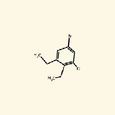 CCc1cc(Br)cc(Cl)c1CC